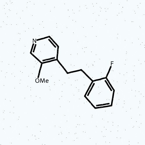 COc1cnccc1CCc1ccccc1F